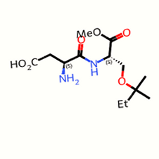 CCC(C)(C)OC[C@H](NC(=O)[C@@H](N)CC(=O)O)C(=O)OC